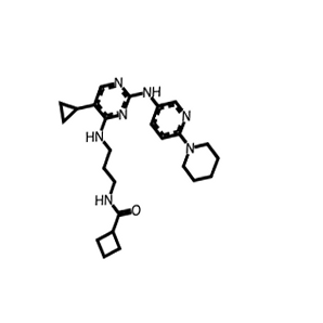 O=C(NCCCNc1nc(Nc2ccc(N3CCCCC3)nc2)ncc1C1CC1)C1CCC1